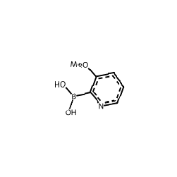 COc1cccnc1B(O)O